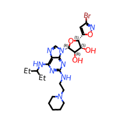 CCC(CC)Nc1nc(NCCN2CCCCC2)nc2c1ncn2[C@@H]1O[C@H](c2cc(Br)no2)[C@@H](O)[C@H]1O